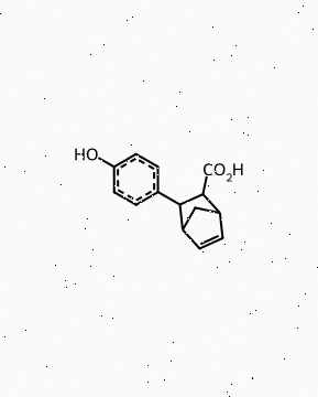 O=C(O)C1C2C=CC(C2)C1c1ccc(O)cc1